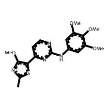 COc1cc(Nc2nccc(-c3sc(C)nc3OC)n2)cc(OC)c1OC